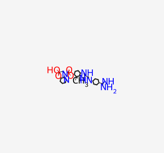 Cc1c(OC(=O)N(CC(=O)O)c2ccccn2)ccc2[nH]c(CNc3ccc(C(=N)N)cc3)nc12